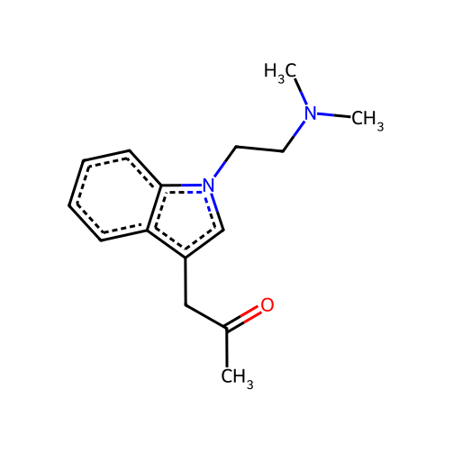 CC(=O)Cc1cn(CCN(C)C)c2ccccc12